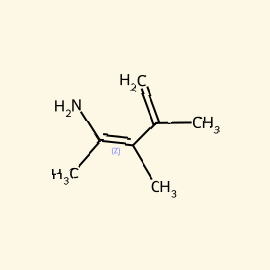 C=C(C)/C(C)=C(/C)N